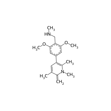 C=C1C(C)=CC(c2cc(OC)c(CNC)c(OC)c2)=C(C)N1C